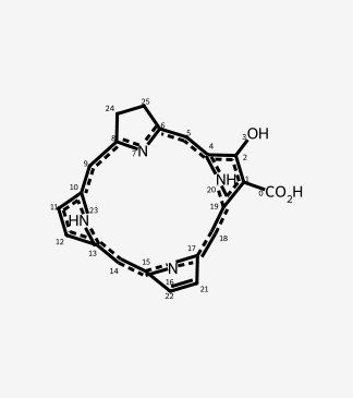 O=C(O)c1c(O)c2cc3nc(cc4ccc(cc5nc(cc1[nH]2)C=C5)[nH]4)CC3